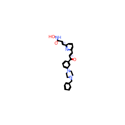 O=C(/C=C/c1cccc(/C=C/C(=O)c2cccc(N3CCN(Cc4ccccc4)CC3)c2)n1)NO